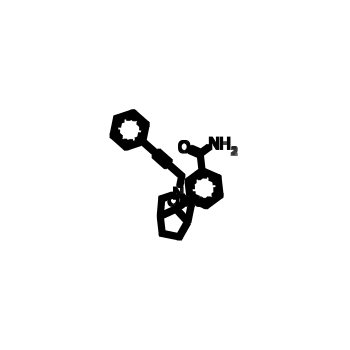 COC1(c2cccc(C(N)=O)c2)C2CCC1CN(CC#Cc1ccccc1)C2